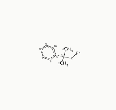 CC(C)(CF)c1cc[c]cc1